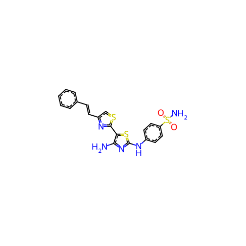 Nc1nc(Nc2ccc(S(N)(=O)=O)cc2)sc1-c1nc(C=Cc2ccccc2)cs1